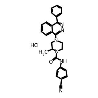 CC1CN(c2nnc(-c3ccccc3)c3ccccc23)CCN1C(=O)Nc1ccc(C#N)cc1.Cl